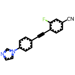 N#Cc1ccc(C#Cc2ccc(-n3ccnc3)cc2)c(F)c1